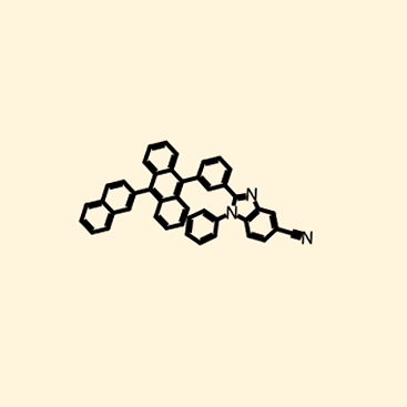 N#Cc1ccc2c(c1)nc(-c1cccc(-c3c4ccccc4c(-c4ccc5ccccc5c4)c4ccccc34)c1)n2-c1ccccc1